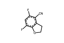 N#Cc1c(F)cc(F)c2c1CCO2